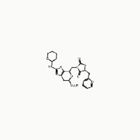 O=C(O)C1Cc2cc(NC3CCCCO3)sc2C(CN2C(=O)SC(Cc3ccccn3)C2=O)O1